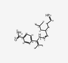 CC(C)=C(N/N=C\C(CCC=P)CC(C)C)c1ccc(C(N)=O)cc1